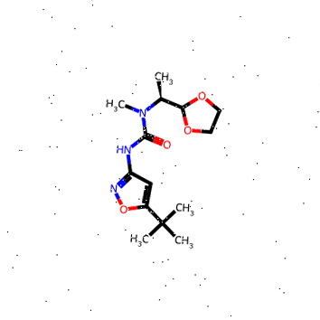 C[C@@H](C1OCCO1)N(C)C(=O)Nc1cc(C(C)(C)C)on1